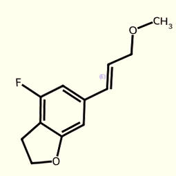 COC/C=C/c1cc(F)c2c(c1)OCC2